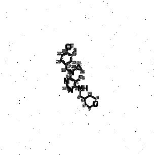 Fc1c(NCC2CCOCC2)ncnc1N(Cc1ccc(C(F)(F)F)cc1)C1CC1